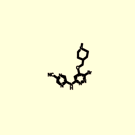 CN1CCC(COc2cc(Nc3cnc(C#N)cn3)nnc2Br)CC1